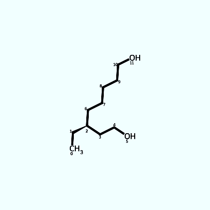 CC[C@H](CCO)CCCCCO